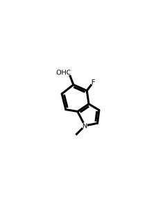 Cn1ccc2c(F)c(C=O)ccc21